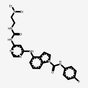 CCN(CC)CCNC(=O)Nc1cc(Nc2cccc3c2ccn3C(=O)Nc2ccc(F)cc2)ncn1